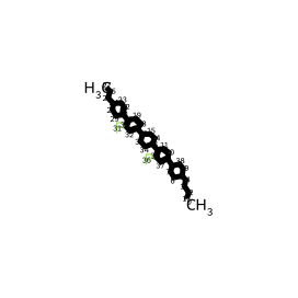 CCCCCC1CCC(c2ccc(C3CCC(c4ccc(C5=CCC(CCC)CC5)c(F)c4)CC3)c(F)c2)CC1